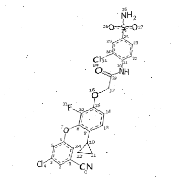 N#Cc1cc(Cl)cc(Oc2c(C3CC3)ccc(OCC(=O)Nc3ccc(S(N)(=O)=O)cc3Cl)c2F)c1